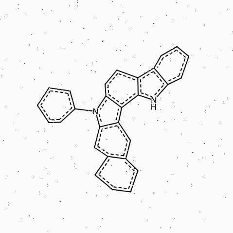 c1ccc(-n2c3cc4ccccc4cc3c3c4[nH]c5ccccc5c4ccc32)cc1